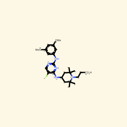 COc1cc(Nc2ncc(F)c(NC3CC(C)(C)N(CCC(=O)O)C(C)(C)C3)n2)cc(OC)c1